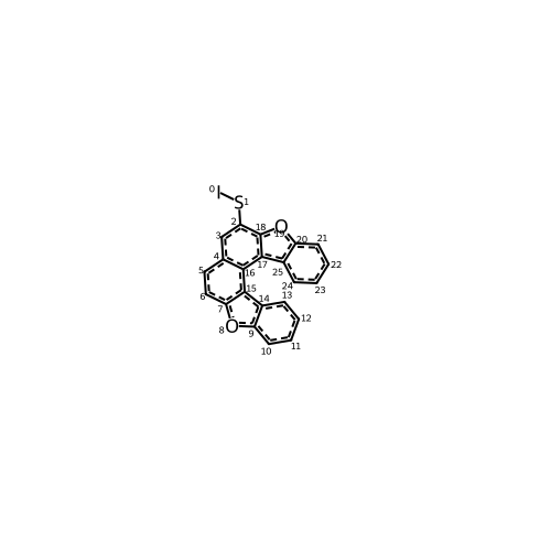 ISc1cc2ccc3oc4ccccc4c3c2c2c1oc1ccccc12